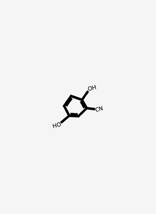 N#Cc1cc(O)ccc1O